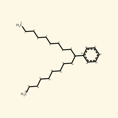 CCCCCCCCC[C](CCCCCCCCC)c1ccccc1